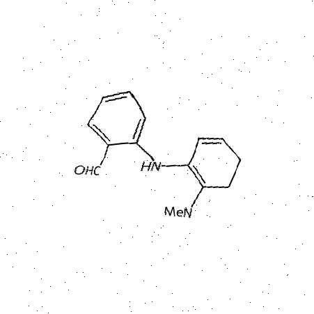 CNC1=C(Nc2ccccc2C=O)C=CCC1